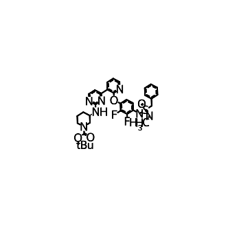 CN=S(=O)(Cc1ccccc1)Nc1ccc(Oc2ncccc2-c2ccnc(N[C@H]3CCCN(C(=O)OC(C)(C)C)C3)n2)c(F)c1F